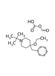 CCOC1(Cc2ccccc2)CCN(C(C)(C)C)CC1.O=[C]OC(=O)O